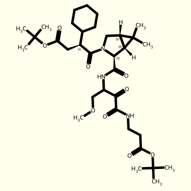 COCC(NC(=O)[C@@H]1[C@@H]2[C@H](CN1C(=O)[C@@H](CC(=O)OC(C)(C)C)C1CCCCC1)C2(C)C)C(=O)C(=O)NCCC(=O)OC(C)(C)C